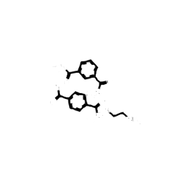 NC(=O)c1ccc(C(N)=O)cc1.NC(=O)c1cccc(C(N)=O)c1.NCCN